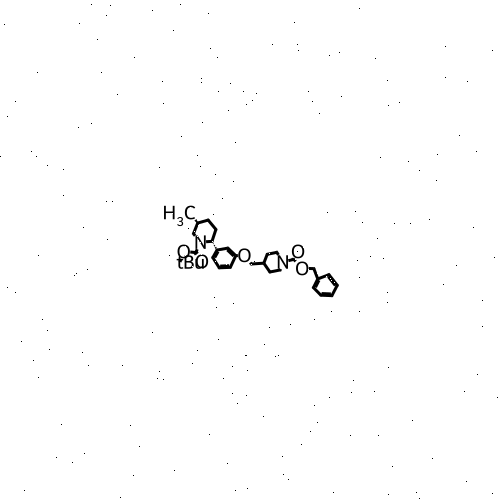 C[C@H]1CC[C@H](c2cccc(OCC3CCN(C(=O)OCc4ccccc4)CC3)c2)N(C(=O)OC(C)(C)C)C1